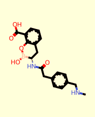 CNCc1ccc(CC(=O)N[C@H]2Cc3cccc(C(=O)O)c3OB2O)cc1